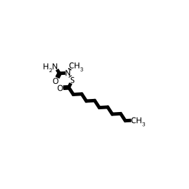 CCCCCCCCCCC(=O)SN(C)C(N)=O